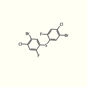 Fc1cc(Cl)c(Br)cc1Sc1cc(Br)c(Cl)cc1F